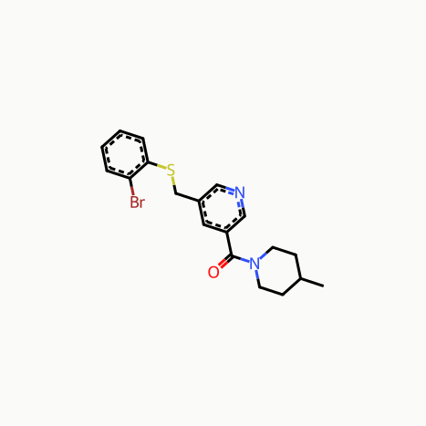 CC1CCN(C(=O)c2cncc(CSc3ccccc3Br)c2)CC1